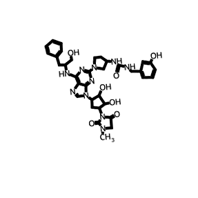 CN1CC(=O)N(C2CC(n3cnc4c(NC(CO)Cc5ccccc5)nc(N5CCC(NC(=O)NCc6cccc(O)c6)C5)nc43)C(O)C2O)C1=O